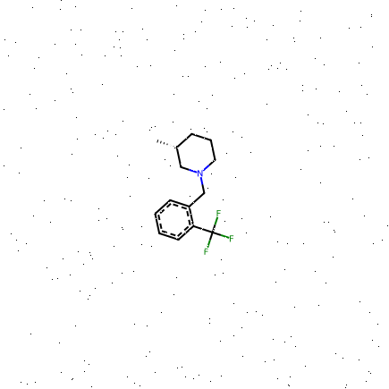 C[C@@H]1CCCN(Cc2ccccc2C(F)(F)F)C1